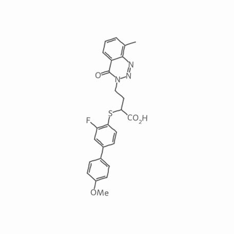 COc1ccc(-c2ccc(SC(CCn3nnc4c(C)cccc4c3=O)C(=O)O)c(F)c2)cc1